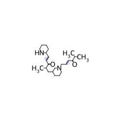 CC(C)C(=O)/C=C/CN1CCCC(CC(C)C(=O)/C=C/C2CCCCN2)C1